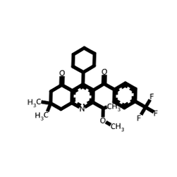 COC(C)c1nc2c(c(C3CCCCC3)c1C(=O)c1ccc(C(F)(F)F)cc1)C(=O)CC(C)(C)C2